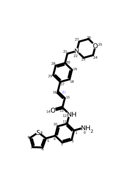 Nc1ccc(-c2cccs2)cc1NC(=O)/C=C/c1ccc(CN2CCOCC2)cc1